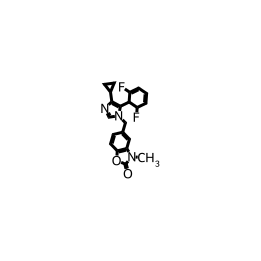 Cn1c(=O)oc2ccc(Cn3cnc(C4CC4)c3C3C(F)=CC=CC3F)cc21